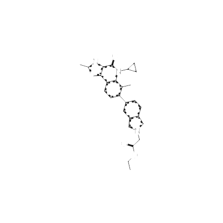 CCOC(=O)Cn1cc2ccc(-c3ccc4c5oc(C)nc5c(=O)n(C5CC5)c4c3C)cc2c1